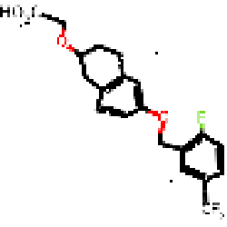 O=C(O)COC1CCc2cc(OCc3cc(C(F)(F)F)ccc3F)ccc2C1